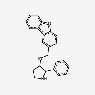 c1ccc(C2NCCC2NCc2ccc3oc4ccccc4c3c2)cc1